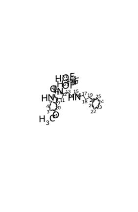 COc1ccc2[nH]c3c(c2c1)CC(CCCNCCCc1ccccc1)NC3=O.O=C(O)C(F)(F)F